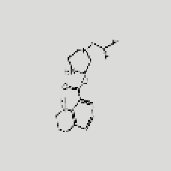 O=C(OC1CN(CC(F)F)CCN1)c1cccc2c1NCCC2